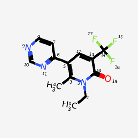 CCn1c(C)c(-c2ccncn2)cc(C(F)(F)F)c1=O